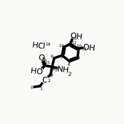 CCCCC(N)(Cc1ccc(O)c(O)c1)C(=O)O.Cl